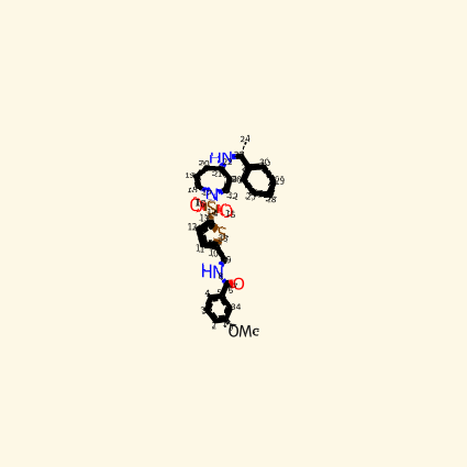 COc1cccc(C(=O)NCc2ccc(S(=O)(=O)N3CCCC(N[C@H](C)C4CCCCC4)CC3)s2)c1